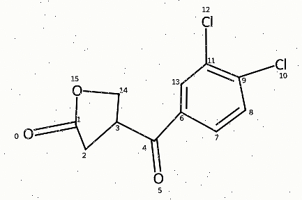 O=C1CC(C(=O)c2ccc(Cl)c(Cl)c2)CO1